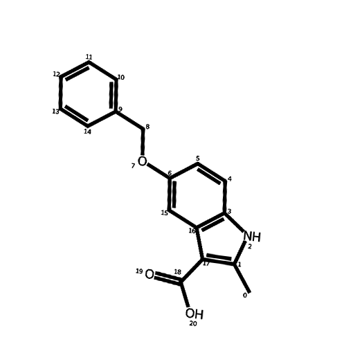 Cc1[nH]c2ccc(OCc3ccccc3)cc2c1C(=O)O